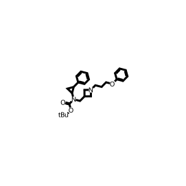 CC(C)(C)OC(=O)N(CC1CN(CCCOc2ccccc2)C1)C1CC1c1ccccc1